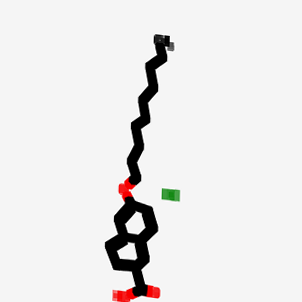 CCCCCCCCCCOc1ccc2cc(C(=O)O)ccc2c1.Cl